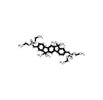 CCOP(=O)(Cc1ccc2c(c1)C(C)(C)c1cc3c(cc1-2)C(C)(C)c1cc(CP(=O)(OCC)OCC)ccc1-3)OCC